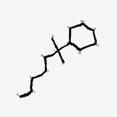 CCCCCC(C)(C)[C]1CCCCC1